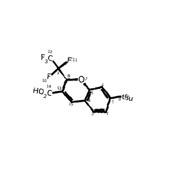 CC(C)(C)c1ccc2c(c1)O[C@H](C(F)(F)C(F)(F)F)C(C(=O)O)=C2